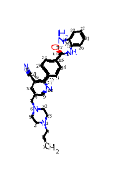 C=CCN1CCN(Cc2cnc(-c3ccc(C(=O)Nc4ccccc4N)cc3)c(C#N)c2)CC1